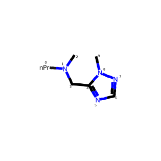 CCCN(C)Cc1ncnn1C